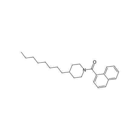 CCCCCCCCC1CCN(C(=O)c2cccc3ccccc23)CC1